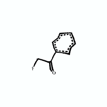 O=C([CH]F)c1ccccc1